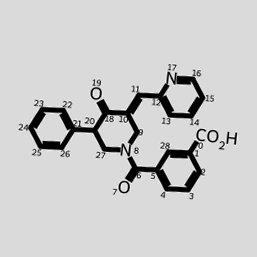 O=C(O)c1cccc(C(=O)N2CC(=Cc3ccccn3)C(=O)C(c3ccccc3)C2)c1